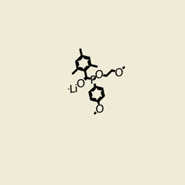 COCCOP(C(=O)c1c(C)cc(C)cc1C)c1ccc(OC)cc1.[Li]